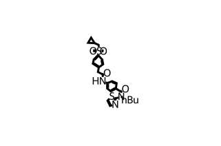 CCCCN(C(=O)c1ccc(NC(=O)Cc2ccc(S(=O)(=O)CC3CC3)cc2)cc1)c1nccs1